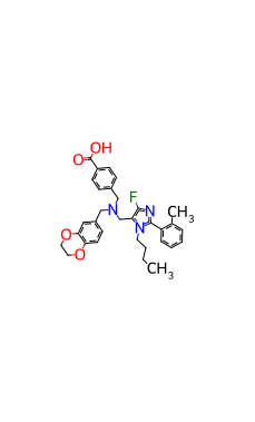 CCCCn1c(-c2ccccc2C)nc(F)c1CN(Cc1ccc(C(=O)O)cc1)Cc1ccc2c(c1)OCCO2